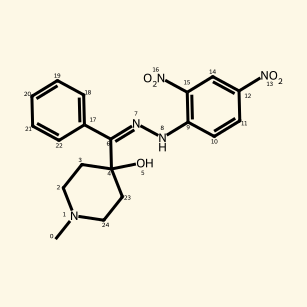 CN1CCC(O)(/C(=N\Nc2ccc([N+](=O)[O-])cc2[N+](=O)[O-])c2ccccc2)CC1